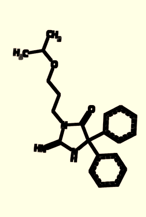 CC(C)OCCCN1C(=N)NC(c2ccccc2)(c2ccccc2)C1=O